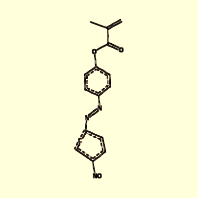 C=C(C)C(=O)Oc1ccc(N=Nc2ccc(N=O)cc2)cc1